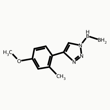 BBn1cc(-c2ccc(OC)cc2C)nn1